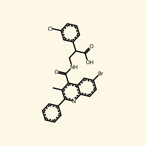 Cc1c(-c2ccccc2)nc2ccc(Br)cc2c1C(=O)NCC(C(=O)O)c1cccc(Cl)c1